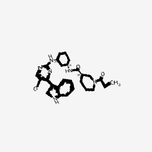 C=CC(=O)N1CCC[C@@H](C(=O)N[C@H]2CCC[C@@H](Nc3ncc(Cl)c(-c4c[nH]c5ccccc45)n3)C2)C1